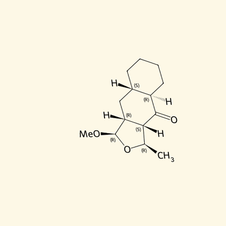 CO[C@@H]1O[C@H](C)[C@H]2C(=O)[C@@H]3CCCC[C@H]3C[C@@H]12